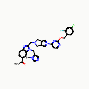 CCn1cncc1Cn1c(CN2Cc3cn(-c4ccnc(OCc5ccc(Cl)cc5F)n4)cc3C2)nc2ccc(C(=O)OC)cc21